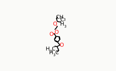 CCC(CC)OCCOC(=O)c1ccc(C(=O)C(CC)CC)cc1